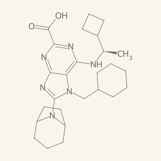 C[C@@H](Nc1nc(C(=O)O)nc2nc(N3C4CCCC3CC4)n(CC3CCCCC3)c12)C1CCC1